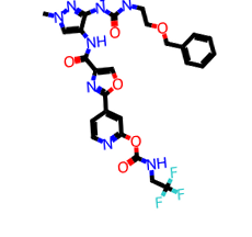 Cn1cc(NC(=O)c2coc(-c3ccnc(OC(=O)NCC(F)(F)F)c3)n2)c(N2CCN(CCOCc3ccccc3)C2=O)n1